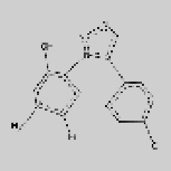 CCc1cc(-n2nncc2-c2ccc(Cl)cc2)c(O)cc1C